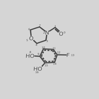 O=CN1CCOCC1.Oc1ccc(F)cc1O